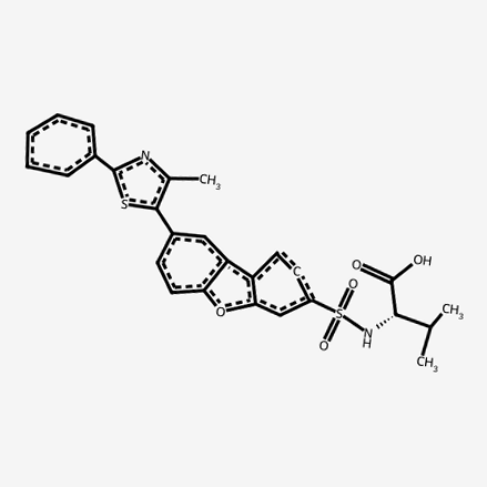 Cc1nc(-c2ccccc2)sc1-c1ccc2oc3cc(S(=O)(=O)N[C@H](C(=O)O)C(C)C)ccc3c2c1